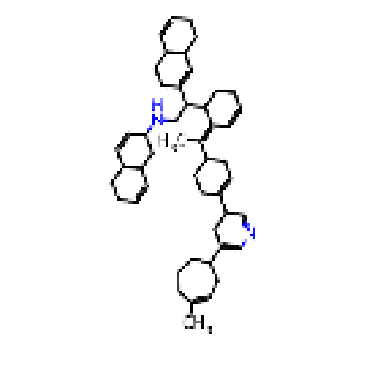 CC1=CCC(C2=CN=CC(C3=CCC(/C(C)=C4\C=CCCC4C(CNC4C=CC5CCC=CC5C4)C4=CC5CCC=CC5CC4)CC3)C2)CCC1